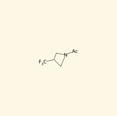 CC(=O)N1CC(C(F)(F)F)C1